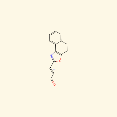 O=C/C=C/c1nc2c(ccc3ccccc32)o1